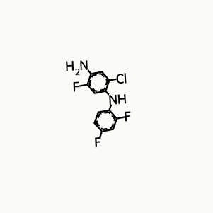 Nc1cc(Cl)c(Nc2ccc(F)cc2F)cc1F